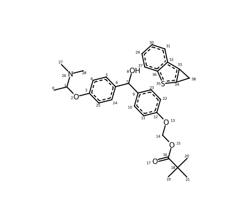 CC(Oc1ccc(C(O)c2ccc(OCOC(=O)C(C)(C)C)cc2)cc1)N(C)C.c1ccc2c3c(sc2c1)C3